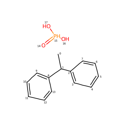 CC(c1ccccc1)c1ccccc1.O=[PH](O)O